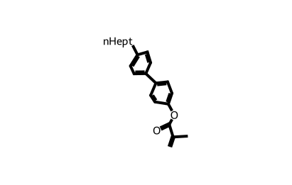 C=C(C)C(=O)Oc1ccc(-c2ccc(CCCCCCC)cc2)cc1